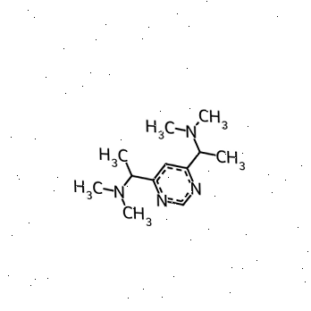 CC(c1cc(C(C)N(C)C)ncn1)N(C)C